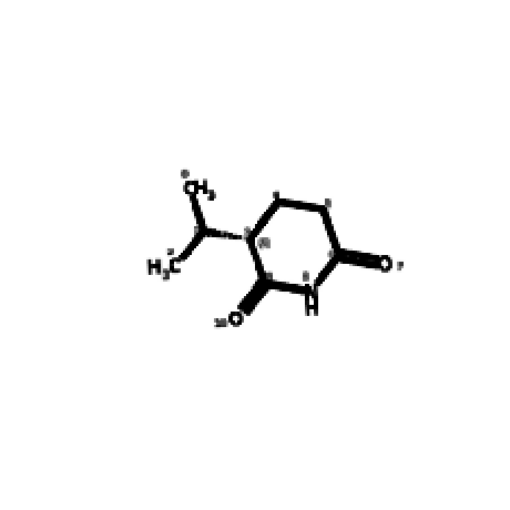 CC(C)[C@@H]1CCC(=O)NC1=O